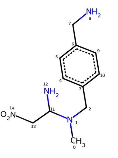 CN(Cc1ccc(CN)cc1)C(N)C[N+](=O)[O-]